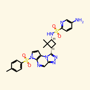 Cc1ccc(S(=O)(=O)n2ccc3c2ncc2nnc([C@H]4C[C@@H](NS(=O)(=O)c5ccc(N)cn5)C4(C)C)n23)cc1